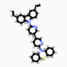 C=Cc1ccc2c(c1)c1cc(C=C)ccc1n2-c1ccc(-c2ccc(N3c4ccccc4Sc4ccccc43)nc2)cn1